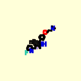 C=C(NC(CCC)c1ccc(OCCCN(C)C)cc1)/C(C#N)=C/c1cccc(F)n1